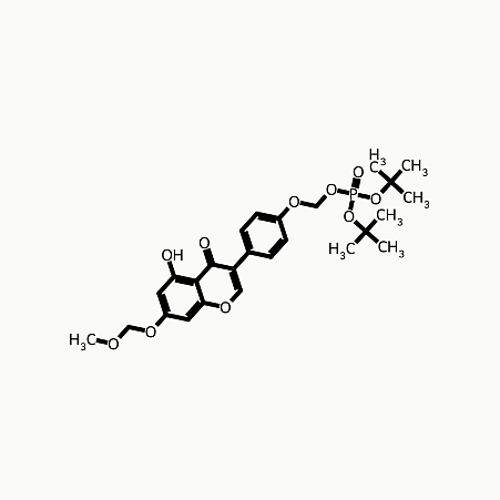 COCOc1cc(O)c2c(=O)c(-c3ccc(OCOP(=O)(OC(C)(C)C)OC(C)(C)C)cc3)coc2c1